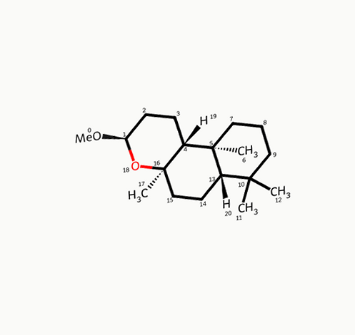 CO[C@H]1CC[C@@H]2[C@@]3(C)CCCC(C)(C)[C@@H]3CC[C@@]2(C)O1